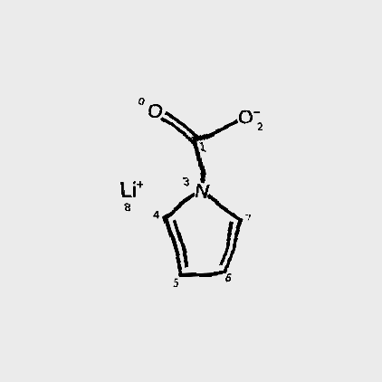 O=C([O-])n1cccc1.[Li+]